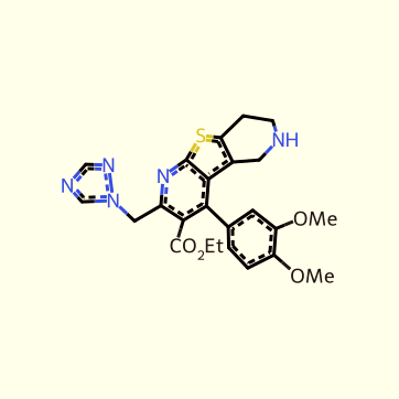 CCOC(=O)c1c(Cn2cncn2)nc2sc3c(c2c1-c1ccc(OC)c(OC)c1)CNCC3